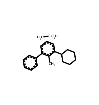 CC(=O)O.Cc1c(-c2ccccc2)cccc1C1CCCCC1